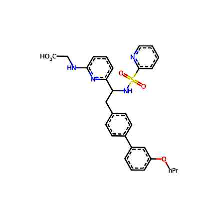 CCCOc1cccc(-c2ccc(CC(NS(=O)(=O)c3ccccn3)c3cccc(NCC(=O)O)n3)cc2)c1